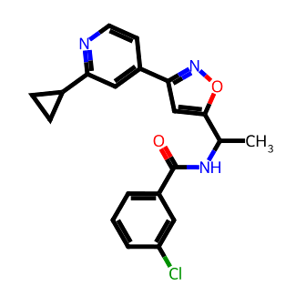 CC(NC(=O)c1cccc(Cl)c1)c1cc(-c2ccnc(C3CC3)c2)no1